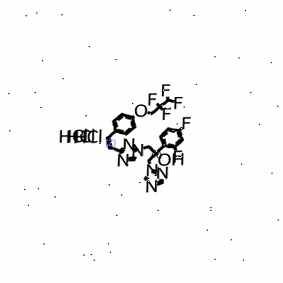 Cl.Cl.Cl.O[C@](Cn1cncn1)(Cn1cnc(/C=C\c2ccc(OCC(F)(F)C(F)F)cc2)n1)c1ccc(F)cc1F